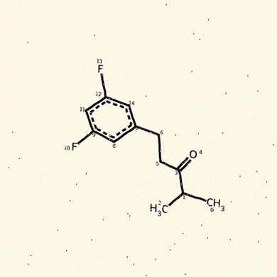 CC(C)C(=O)CCc1cc(F)cc(F)c1